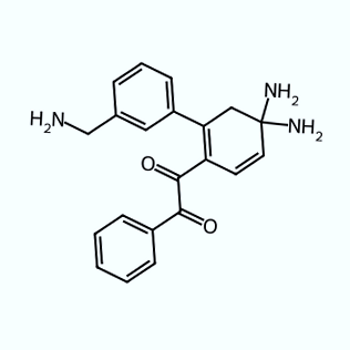 NCc1cccc(C2=C(C(=O)C(=O)c3ccccc3)C=CC(N)(N)C2)c1